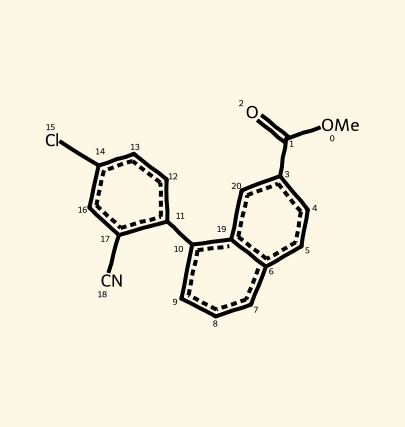 COC(=O)c1ccc2cccc(-c3ccc(Cl)cc3C#N)c2c1